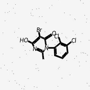 Cc1nc(O)c(Br)c(=O)n1-c1cccc(Cl)c1Cl